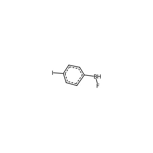 FBc1ccc(I)cc1